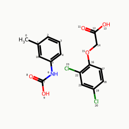 Cc1cccc(NC(=O)O)c1.O=C(O)COc1ccc(Cl)cc1Cl